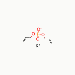 C=CCOP(=O)([O-])OCC=C.[K+]